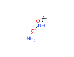 CC(C)(C)CC(=O)NCCOCCN